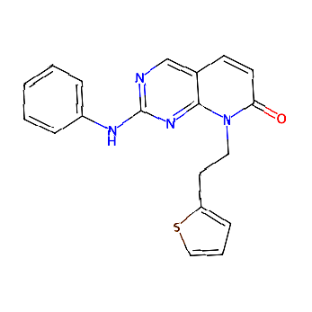 O=c1ccc2cnc(Nc3ccccc3)nc2n1CCc1cccs1